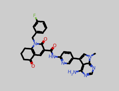 Cn1cc(-c2ccc(NC(=O)c3cc4c(n(Cc5cccc(F)c5)c3=O)CCCC4=O)nc2)c2c(N)ncnc21